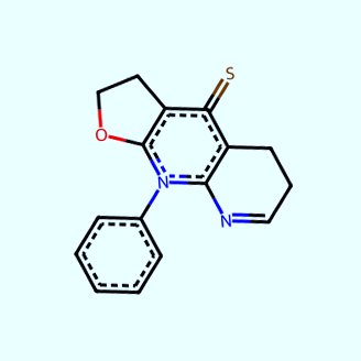 S=c1c2c(n(-c3ccccc3)c3c1CCO3)N=CCC2